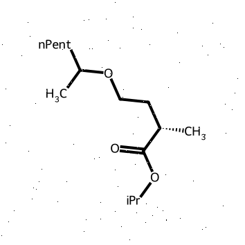 CCCCCC(C)OCC[C@H](C)C(=O)OC(C)C